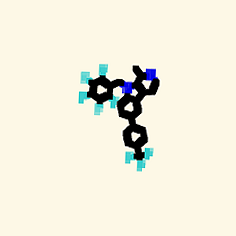 Cc1nccc2c3cc(-c4ccc(C(F)(F)F)cc4)ccc3n(Cc3c(F)c(F)c(F)c(F)c3F)c12